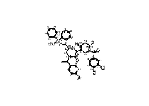 CC(c1ccc(Br)nc1)N1C[C@@H](CO[Si](c2ccccc2)(c2ccccc2)C(C)(C)C)n2nc3c(c2C1=O)CN(C(=O)c1ccc(Cl)c(Cl)c1)[C@H](C)C3